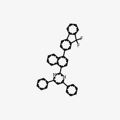 FC1(F)c2ccccc2-c2ccc(-c3ccc(-c4nc(-c5ccccc5)cc(-c5ccccc5)n4)c4ccccc34)cc21